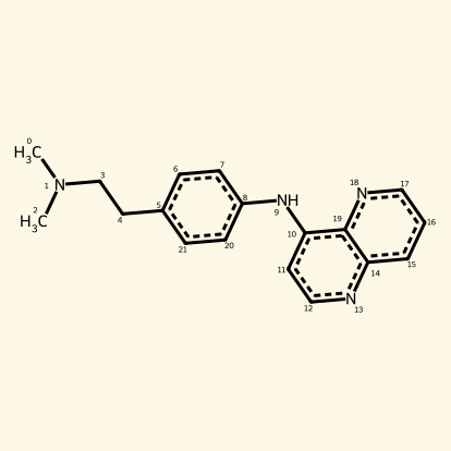 CN(C)CCc1ccc(Nc2ccnc3cccnc23)cc1